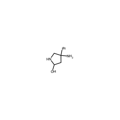 CC(C)C1(N)CNC(O)C1